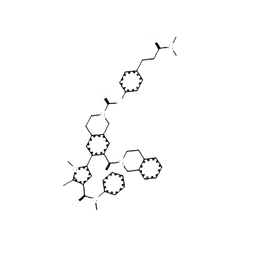 Cc1c(C(=O)N(C)c2ccccc2)cc(-c2cc3c(cc2C(=O)N2Cc4ccccc4C[C@H]2C)CN(C(=O)Oc2ccc(CCC(=O)N(C)C)cc2)CC3)n1C